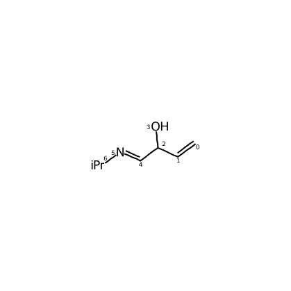 C=CC(O)C=NC(C)C